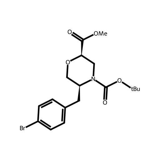 COC(=O)[C@H]1CN(C(=O)OC(C)(C)C)[C@@H](Cc2ccc(Br)cc2)CO1